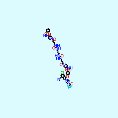 N#Cc1cc(Cl)cc2c1C[C@H](N1CCN(C(=O)C(F)(F)F)CC1)[C@H]2Oc1ccc(S(=O)(=O)NC2CCN(C(=O)CCCNC(=O)NCCCCNC(=O)NCCCC(=O)N3CCC(NS(=O)(=O)c4ccccc4)CC3)CC2)cc1